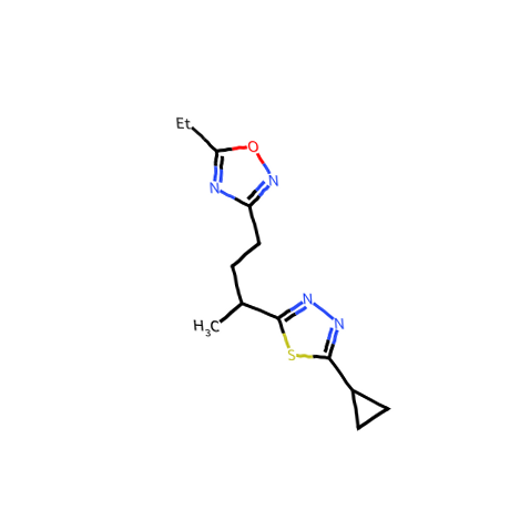 CCc1nc(CCC(C)c2nnc(C3CC3)s2)no1